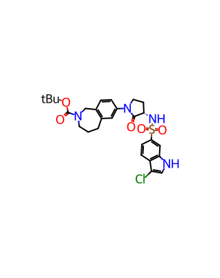 CC(C)(C)OC(=O)N1CCCc2cc(N3CC[C@H](NS(=O)(=O)c4ccc5c(Cl)c[nH]c5c4)C3=O)ccc2C1